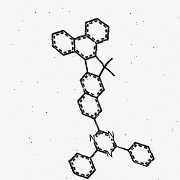 CC1(C)c2cc3cc(-c4nc(-c5ccccc5)nc(-c5ccccc5)n4)ccc3cc2-c2c1c1ccccc1c1ccccc21